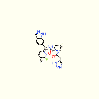 CC(C)c1ccc([C@@H](NC(=O)[C@@H]2C[C@@H](F)CN2C(=O)Cc2cnn[nH]2)c2ccc3cn[nH]c3c2)nc1F